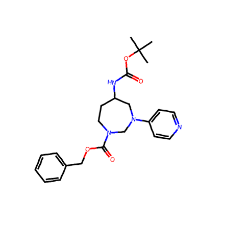 CC(C)(C)OC(=O)NC1CCN(C(=O)OCc2ccccc2)CN(c2ccncc2)C1